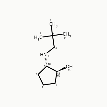 CC(C)(C)CN[C@H]1CCC[C@@H]1O